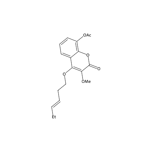 CCC=CCCOc1c(OC)c(=O)oc2c(OC(C)=O)cccc12